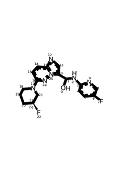 OC(Nc1ccc(F)cn1)c1cnc2ccc(N3CCC[C@H](F)C3)nn12